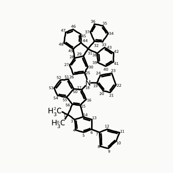 CC1(C)c2ccc(-c3ccccc3)cc2-c2cc(N(c3ccccc3)c3ccc4c(c3)C(c3ccccc3)(c3ccccc3)c3ccccc3-4)c3ccccc3c21